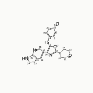 Clc1ccc(Sc2oc(C3CCOCC3)nc2-c2cnc3c(c2)CCN3)cc1